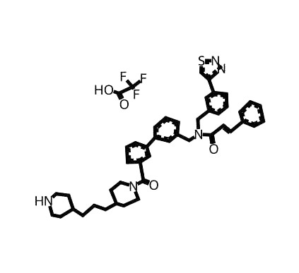 O=C(/C=C/c1ccccc1)N(Cc1cccc(-c2cccc(C(=O)N3CCC(CCCC4CCNCC4)CC3)c2)c1)Cc1cccc(-c2csnn2)c1.O=C(O)C(F)(F)F